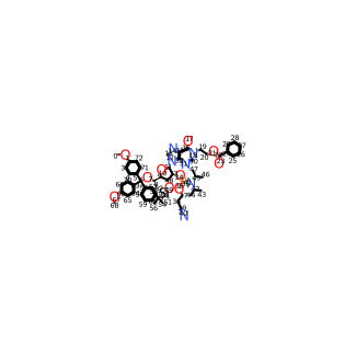 COc1ccc(C(OC[C@H]2O[C@@H](n3cnc4c(=O)n(CCOC(=O)c5ccccc5)cnc43)[C@H](OP(OCCC#N)N(C(C)C)C(C)C)[C@@H]2O[Si](C)(C)C(C)(C)C)(c2ccccc2)c2ccc(OC)cc2)cc1